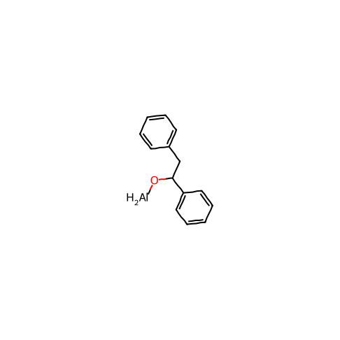 [AlH2][O]C(Cc1ccccc1)c1ccccc1